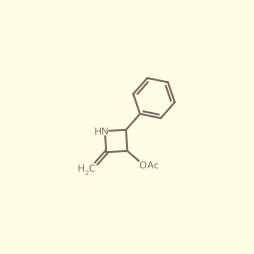 C=C1NC(c2ccccc2)C1OC(C)=O